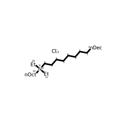 CCCCCCCCCCCCCCCCCC[N+](CC)(CC)CCCCCCCC.[Cl-]